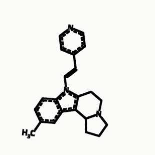 Cc1ccc2c(c1)c1c(n2C=Cc2ccncc2)CCN2CCCC12